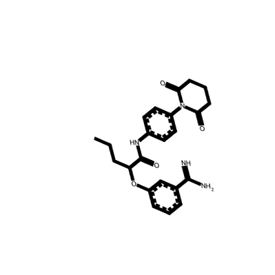 CCCC(Oc1cccc(C(=N)N)c1)C(=O)Nc1ccc(N2C(=O)CCCC2=O)cc1